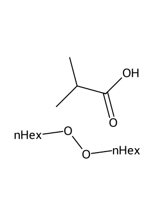 CC(C)C(=O)O.CCCCCCOOCCCCCC